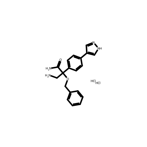 Cl.Cl.NCC(OCc1ccccc1)(C(N)=O)c1ccc(-c2cn[nH]c2)cc1